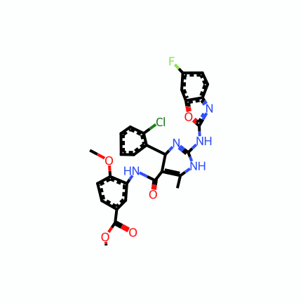 COC(=O)c1ccc(OC)c(NC(=O)C2=C(C)NC(Nc3nc4ccc(F)cc4o3)=NC2c2ccccc2Cl)c1